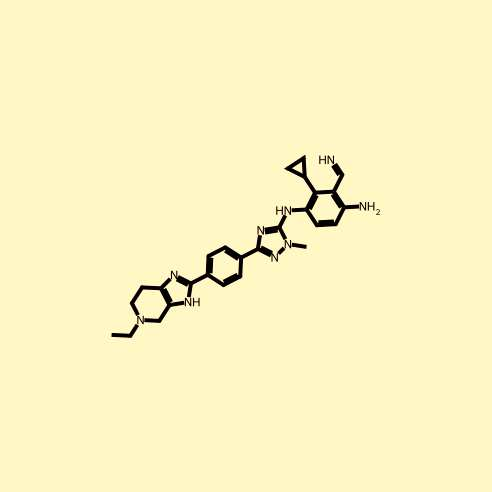 CCN1CCc2nc(-c3ccc(-c4nc(Nc5ccc(N)c(C=N)c5C5CC5)n(C)n4)cc3)[nH]c2C1